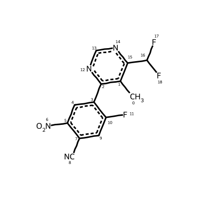 Cc1c(-c2cc([N+](=O)[O-])c(C#N)cc2F)ncnc1C(F)F